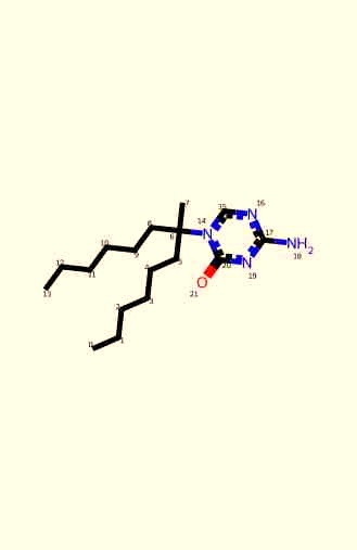 CCCCCCC(C)(CCCCCC)n1cnc(N)nc1=O